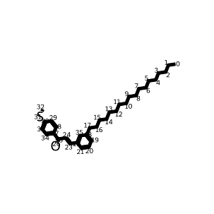 CCCCCCCCCCCCCCCCCCc1cccc(C=CC(=O)c2ccc(SC)cc2)c1